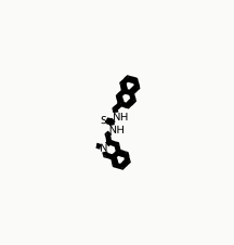 CN1Cc2ccccc2CC1CNC(=S)NCc1ccc2ccccc2c1